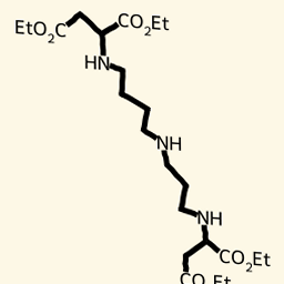 CCOC(=O)CC(NCCCCNCCCNC(CC(=O)OCC)C(=O)OCC)C(=O)OCC